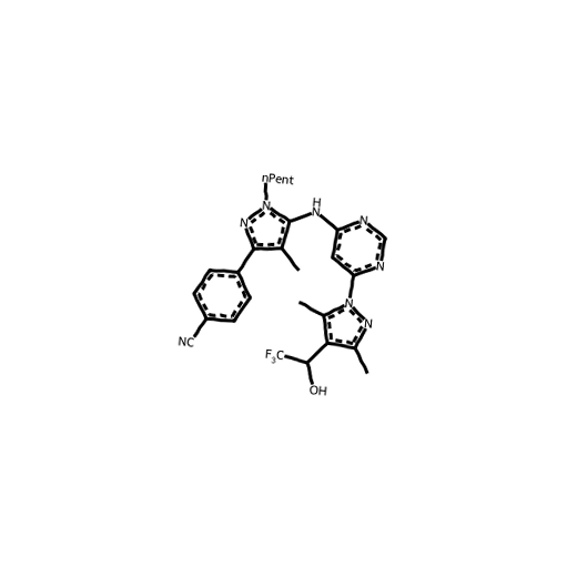 CCCCCn1nc(-c2ccc(C#N)cc2)c(C)c1Nc1cc(-n2nc(C)c(C(O)C(F)(F)F)c2C)ncn1